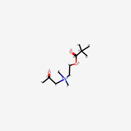 CC(=O)C[N+](C)(C)CCOC(=O)C(C)(C)C